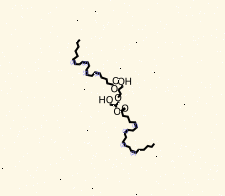 CCCCC/C=C\C/C=C\C/C=C\C/C=C\CCCC(=O)OC(CO)COCC(CO)OC(=O)CCC/C=C\C/C=C\C/C=C\C/C=C\CCCCC